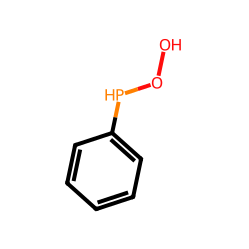 OOPc1ccccc1